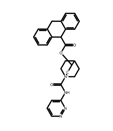 O=C(OC1C[N+]2(C(=O)Nc3cccnn3)CCC1CC2)C1c2ccccc2Cc2ccccc21